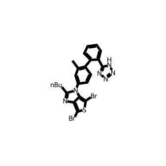 CCCCc1nc2c(Br)sc(Br)c2n1-c1ccc(-c2ccccc2-c2nnn[nH]2)c(C)c1